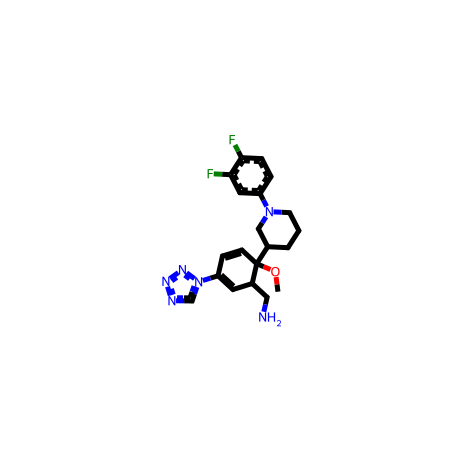 COC1(C2CCCN(c3ccc(F)c(F)c3)C2)C=CC(n2cnnn2)=CC1CN